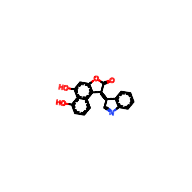 O=C1Oc2cc(O)c3c(O)cccc3c2C1=C1C=Nc2ccccc21